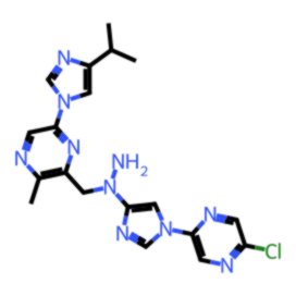 Cc1ncc(-n2cnc(C(C)C)c2)nc1CN(N)c1cn(-c2cnc(Cl)cn2)cn1